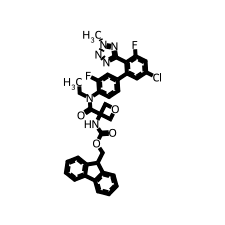 CCN(C(=O)C1(NC(=O)OCC2c3ccccc3-c3ccccc32)COC1)c1ccc(-c2cc(Cl)cc(F)c2-c2nnn(C)n2)cc1F